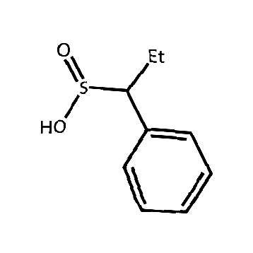 CCC(c1ccccc1)S(=O)O